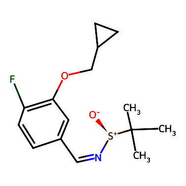 CC(C)(C)[S@+]([O-])/N=C\c1ccc(F)c(OCC2CC2)c1